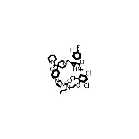 CCCN(CCOc1c(Cl)cc(Cl)cc1Cl)C(=O)n1ccnc1.CNC(=O)[C@@]1(c2ccc(F)c(F)c2)C[C@H]1CN1CCC(C(=O)N2CCCCC2)(c2ccccc2)CC1